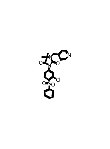 CC1(C)C(=O)N(c2ccc(S(=O)(=O)c3ccccc3)c(Cl)c2)C(=O)N1Cc1ccncc1